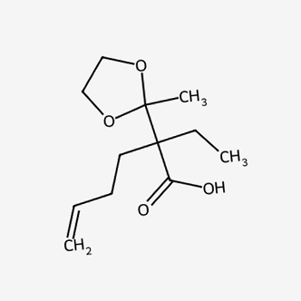 C=CCCC(CC)(C(=O)O)C1(C)OCCO1